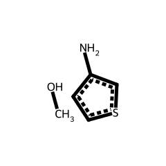 CO.Nc1ccsc1